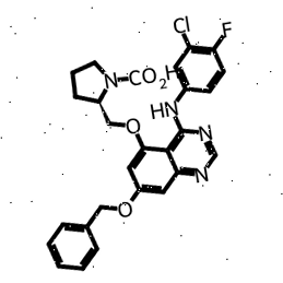 O=C(O)N1CCC[C@@H]1COc1cc(OCc2ccccc2)cc2ncnc(Nc3ccc(F)c(Cl)c3)c12